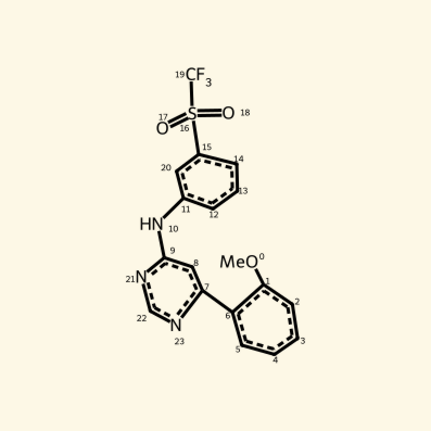 COc1ccccc1-c1cc(Nc2cccc(S(=O)(=O)C(F)(F)F)c2)ncn1